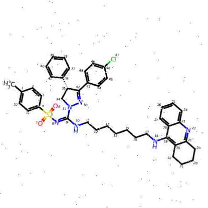 Cc1ccc(S(=O)(=O)/N=C(/NCCCCCCCNc2c3c(nc4ccccc24)CCCC3)N2C[C@H](c3ccccc3)C(c3ccc(Cl)cc3)=N2)cc1